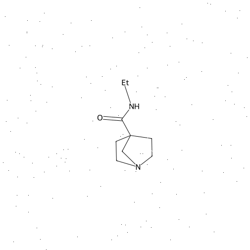 CCNC(=O)C12CCN(CC1)C2